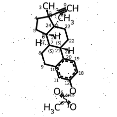 C#C[C@@]1(C)CC[C@H]2[C@@H]3CCc4cc(OS(C)(=O)=O)ccc4[C@H]3CC[C@@]21C